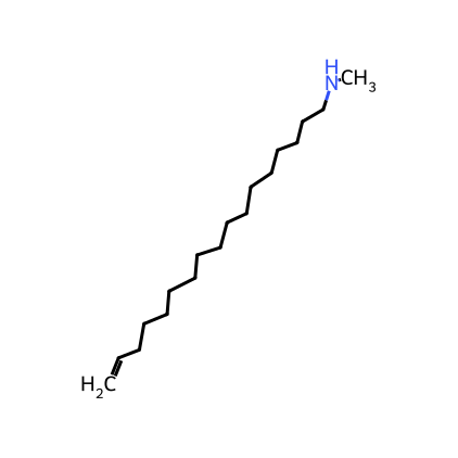 C=CCCCCCCCCCCCCCCCNC